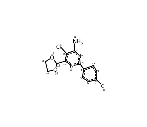 Nc1nc(-c2ccc(Cl)cc2)nc(C2OCCO2)c1Cl